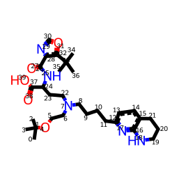 CC(C)(C)OCCN(CCCCc1ccc2c(n1)NCCC2)CCC(NC(=O)c1ncoc1C(C)(C)C)C(=O)O